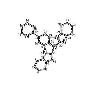 c1ccc2c(c1)nc1n2c2cc(-c3ncncn3)cc3c2n1c1nc2ccccc2n31